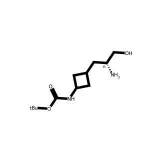 CC(C)(C)OC(=O)NC1CC(C[C@@H](N)CO)C1